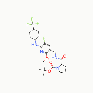 COc1nc(NC2CCC(C(F)(F)F)CC2)c(F)cc1CNC(=O)[C@@H]1CCCN1C(=O)OC(C)(C)C